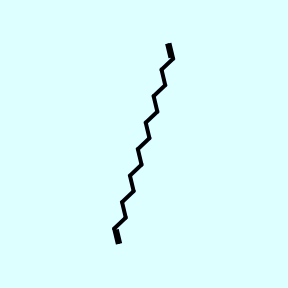 C=CCCCCCCCCCCCCC=C